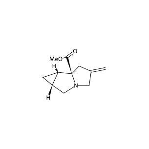 C=C1CN2C[C@@H]3C[C@@H]3[C@]2(C(=O)OC)C1